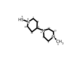 CN1CCN(C2CCN(S)CC2)CC1